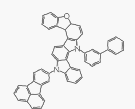 C1=CC2Oc3ccccc3C2c2c1n(-c1cccc(-c3ccccc3)c1)c1c2ccc2c1c1ccccc1n2-c1ccc2c(c1)-c1cccc3cccc-2c13